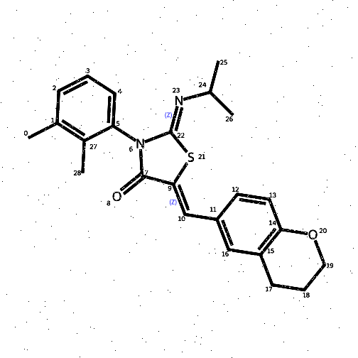 Cc1cccc(N2C(=O)/C(=C/c3ccc4c(c3)CCCO4)S/C2=N\C(C)C)c1C